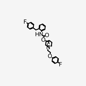 O=C(Nc1ccccc1Cc1ccc(F)cc1)OC1C[N+]2(CCOc3ccc(F)cc3)CCC1CC2